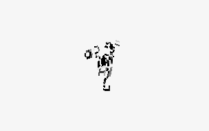 CCC(=O)CCCCCC(CNCCc1ccccc1)NC(=O)CCCC(=O)c1ccccc1